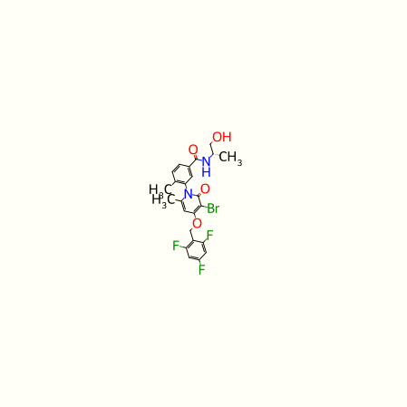 Cc1ccc(C(=O)N[C@@H](C)CO)cc1-n1c(C)cc(OCc2c(F)cc(F)cc2F)c(Br)c1=O